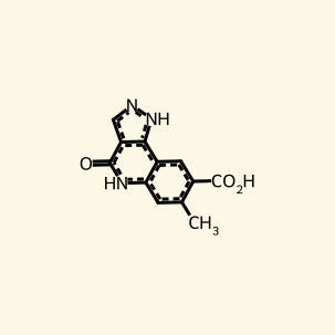 Cc1cc2[nH]c(=O)c3cn[nH]c3c2cc1C(=O)O